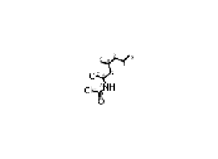 CCCC(C)CC(Cl)NC(=O)Cl